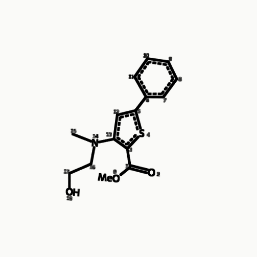 COC(=O)c1sc(-c2ccccc2)cc1N(C)CCO